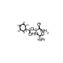 CCCC(=O)NC(OC(=O)c1ccccc1)C(N)=O